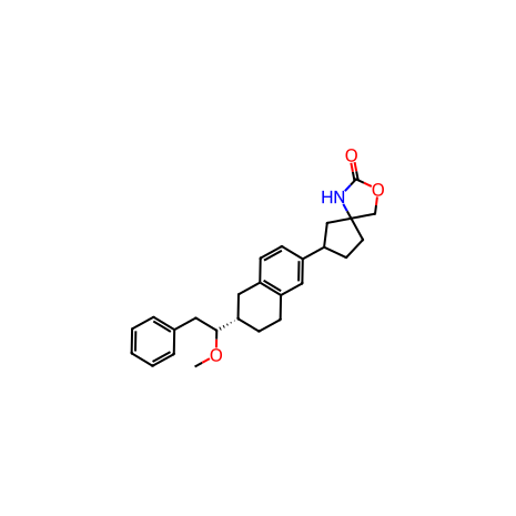 COC(Cc1ccccc1)[C@H]1CCc2cc(C3CCC4(COC(=O)N4)C3)ccc2C1